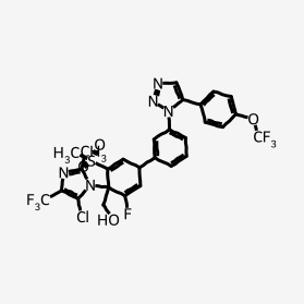 Cc1nc(C(F)(F)F)c(Cl)n1C1(CO)C(F)=CC(c2cccc(-n3nncc3-c3ccc(OC(F)(F)F)cc3)c2)C=C1S(C)(=O)=O